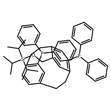 CC(C)[Si](OCc1cc2c(P(c3ccccc3)c3ccccc3)cc1CCc1ccc(cc1P(c1ccccc1)c1ccccc1)CC2)(C(C)C)C(C)C